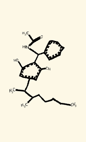 CCCCCC(C)C(C)c1cc(O)c(C(NC(C)=O)c2ccccc2)c(O)c1